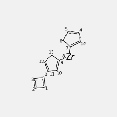 C1=CC=C1.C1=CC[C]([Zr][C]2=CC=CC2)=C1